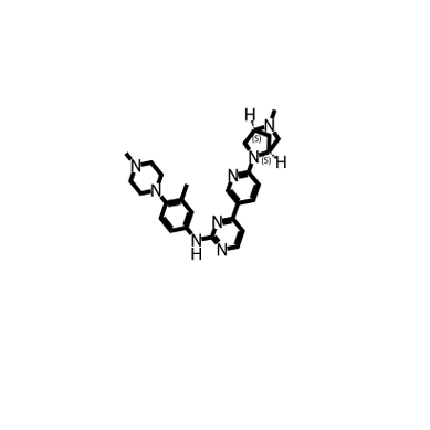 Cc1cc(Nc2nccc(-c3ccc(N4C[C@@H]5C[C@H]4CN5C)nc3)n2)ccc1N1CCN(C)CC1